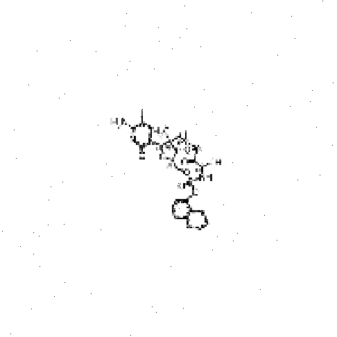 CC(C)OC(=O)[C@@H](C)N[P@@](=O)(OC[C@H]1O[C@@H](n2cc(I)c(N)nc2=O)[C@](C)(Cl)[C@@H]1O)Oc1cccc2ccccc12